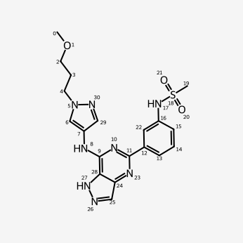 COCCCn1cc(Nc2nc(-c3cccc(NS(C)(=O)=O)c3)nc3cn[nH]c23)cn1